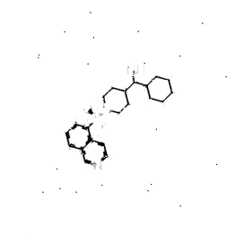 NC(C1CCCCC1)C1CCN(S(=O)(=O)c2cccc3cnccc23)CC1